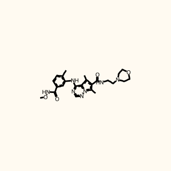 CONC(=O)c1ccc(C)c(Nc2ncnn3c(C)c(C(=O)NCCN4CCOCC4)c(C)c23)c1